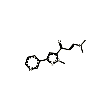 CN(C)/C=C/C(=O)c1cc(-c2cccnc2)nn1C